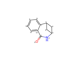 O=C1NC2CC(C2)c2ccccc21